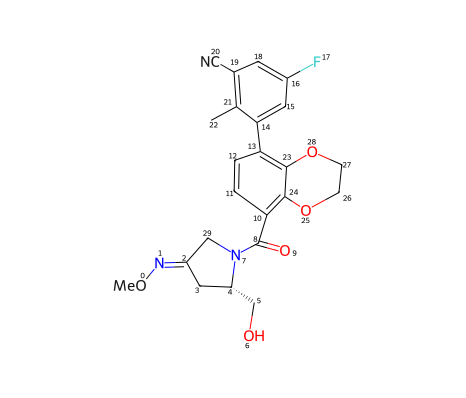 CO/N=C1\C[C@@H](CO)N(C(=O)c2ccc(-c3cc(F)cc(C#N)c3C)c3c2OCCO3)C1